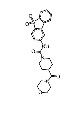 O=C(Nc1ccc2c(c1)-c1ccccc1S2(=O)=O)N1CCC(C(=O)N2CCOCC2)CC1